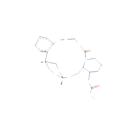 CC(C)(C)OC(=O)NC1CCCN2C(=O)CCCOc3ccccc3[C@H]3CC[C@H](CC3)OCC12